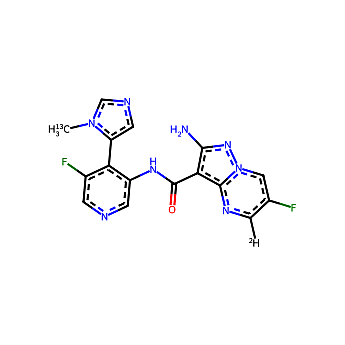 [2H]c1nc2c(C(=O)Nc3cncc(F)c3-c3cncn3[13CH3])c(N)nn2cc1F